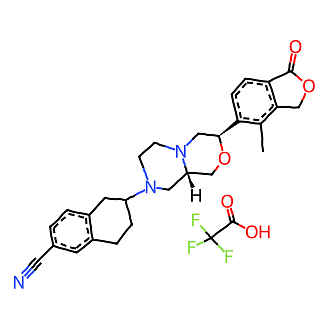 Cc1c([C@@H]2CN3CCN(C4CCc5cc(C#N)ccc5C4)C[C@H]3CO2)ccc2c1COC2=O.O=C(O)C(F)(F)F